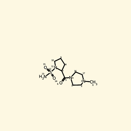 CN1CCN(C(=O)C2CCCN2S(N)(=O)=O)CC1